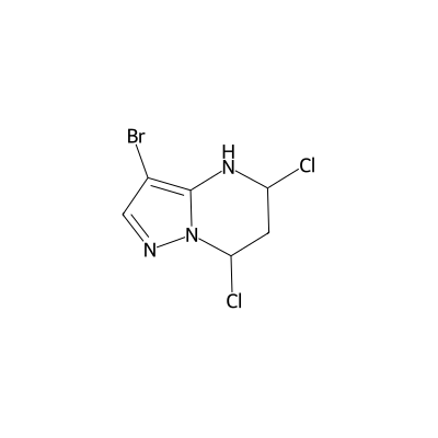 ClC1CC(Cl)n2ncc(Br)c2N1